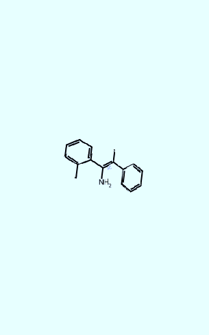 C/C(=C(/N)c1ccccc1C)c1ccccc1